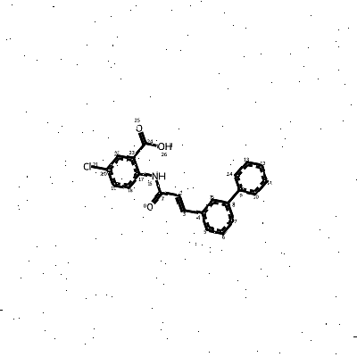 O=C(C=Cc1cccc(-c2ccccc2)c1)Nc1ccc(Cl)cc1C(=O)O